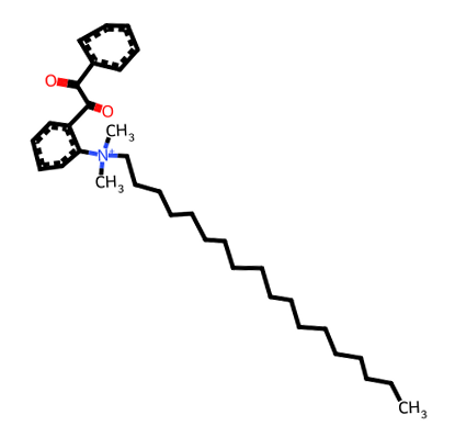 CCCCCCCCCCCCCCCCCC[N+](C)(C)c1ccccc1C(=O)C(=O)c1ccccc1